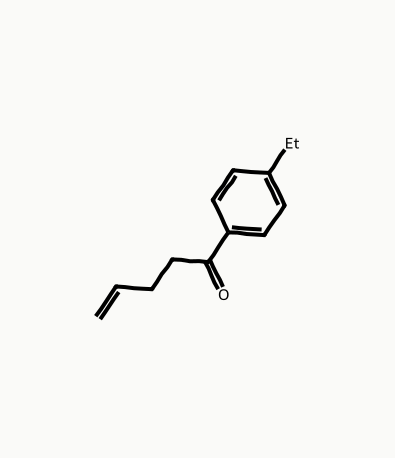 C=CCCC(=O)c1ccc(CC)cc1